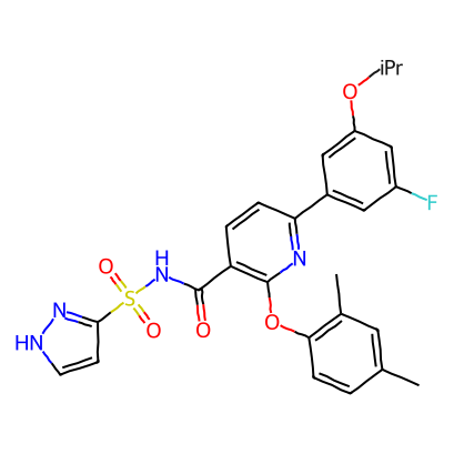 Cc1ccc(Oc2nc(-c3cc(F)cc(OC(C)C)c3)ccc2C(=O)NS(=O)(=O)c2cc[nH]n2)c(C)c1